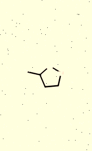 [CH2]C1CCNO1